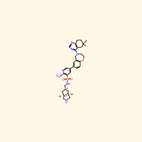 CC1(C)CCc2ncnc(N3CCOc4ccc(-c5cnc(N)c(S(=O)(=O)NC[C@H]6C[C@H]7CNC[C@H]7C6)c5)cc4C3)c2C1